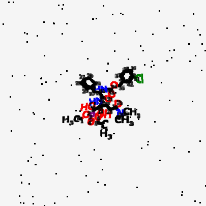 CCOP(=O)(OCC)C(O)C(O)(CCC(=O)N(C)C)NC(=O)C(CC12CCC(CC1)C2)NC(=O)OCc1cccc(Cl)c1